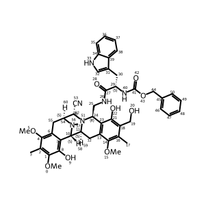 COc1c(C)c(OC)c2c(c1O)[C@H]1[C@@H]3Cc4c(OC)c(C)c(CO)c(O)c4[C@H](CNC(=O)[C@H](Cc4c[nH]c5ccccc45)NC(=O)OCc4ccccc4)N3[C@@H](C#N)[C@H](C2)N1C